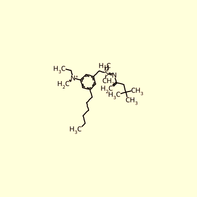 C=C(CC(C)(C)C)N=[SH](C)(C)Cc1cc(CCCCCC)cc([N+](=C)CC)c1